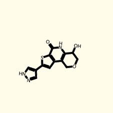 O=c1[nH]c2c(c3cc(-c4cn[nH]c4)sc13)COCC2O